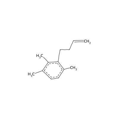 C=CCCc1c(C)ccc(C)c1C